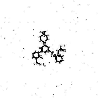 C[C@@H](N)c1cccc(-c2cc(COc3ccccc3CC(=O)O)cc(N3CCC4(CC3)CC4)c2)c1F